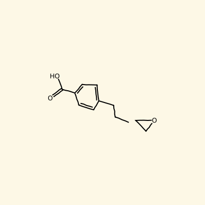 C1CO1.CCCc1ccc(C(=O)O)cc1